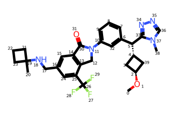 CO[C@H]1C[C@H](C(c2cccc(N3Cc4c(cc(CNC5(C)CCC5)cc4C(F)(F)F)C3=O)c2)c2nncn2C)C1